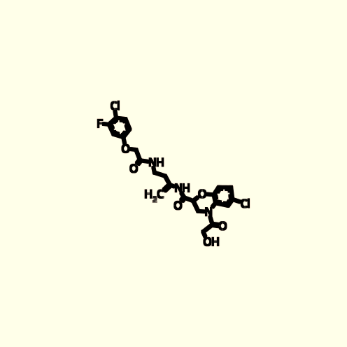 C=C(CCNC(=O)COc1ccc(Cl)c(F)c1)NC(=O)C1CN(C(=O)CO)c2cc(Cl)ccc2O1